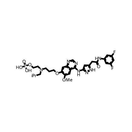 COc1cc2c(Nc3cc(CC(=O)Nc4cc(F)cc(F)c4)[nH]n3)ncnc2cc1OCCCN(CCOP(=O)(O)O)CC(C)C